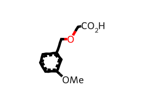 COc1cccc(COCC(=O)O)c1